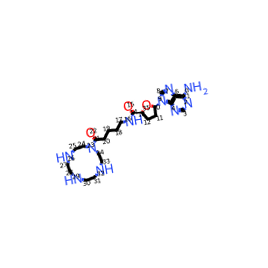 Nc1ncnc2c1ncn2[C@H]1CC[C@@H](C(=O)NCCCCC(=O)N2CCNCCNCCNCC2)O1